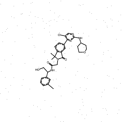 Cc1cccc(C(CO)NC(=O)CN2C(=O)c3cc(-c4nc(NC5CCOCC5)ncc4Cl)ccc3C2(C)C)c1